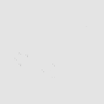 O=C(N1CC(OCc2ccc(C(F)(F)F)cc2F)C1)N1CCC(c2nnn[nH]2)C1